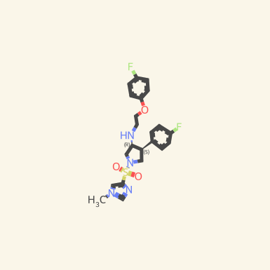 Cn1cnc(S(=O)(=O)N2C[C@H](NCCOc3ccc(F)cc3)[C@@H](c3ccc(F)cc3)C2)c1